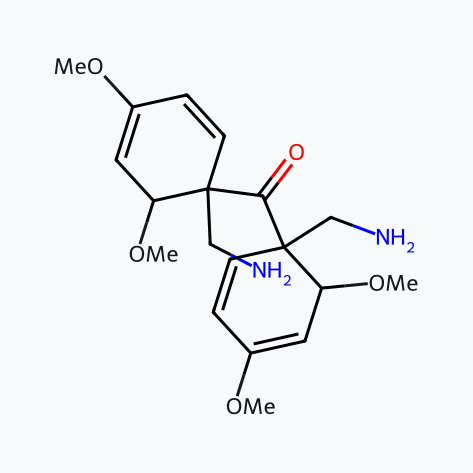 COC1=CC(OC)C(CN)(C(=O)C2(CN)C=CC(OC)=CC2OC)C=C1